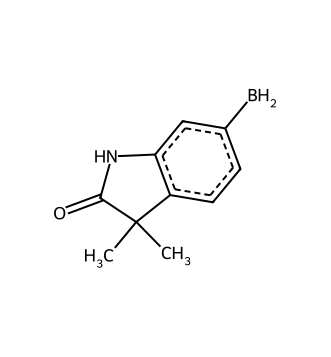 Bc1ccc2c(c1)NC(=O)C2(C)C